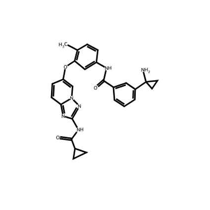 Cc1ccc(NC(=O)c2cccc(C3(N)CC3)c2)cc1Oc1ccc2nc(NC(=O)C3CC3)nn2c1